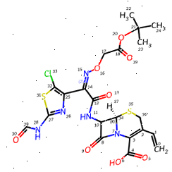 C=CC1=C(C(=O)O)N2C(=O)C(NC(=O)/C(=N\OCC(=O)OC(C)(C)C)c3nc(NC=O)sc3Cl)[C@H]2SC1